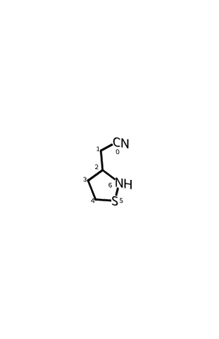 N#CCC1CCSN1